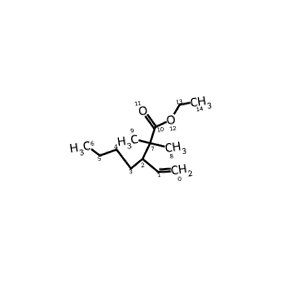 C=CC(CCCC)C(C)(C)C(=O)OCC